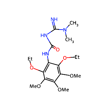 CCOc1c(NC(=O)NC(=N)N(C)C)c(OCC)c(OC)c(OC)c1OC